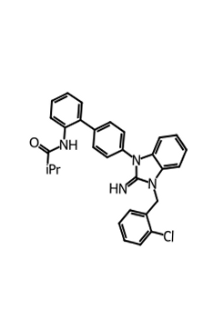 CC(C)C(=O)Nc1ccccc1-c1ccc(-n2c(=N)n(Cc3ccccc3Cl)c3ccccc32)cc1